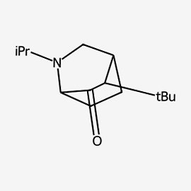 CC(C)N1CC2CCC1C(=O)C2C(C)(C)C